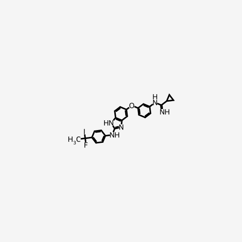 CC(F)(I)c1ccc(Nc2nc3cc(Oc4cccc(NC(=N)C5CC5)c4)ccc3[nH]2)cc1